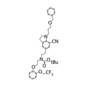 CC(C)(C)OC(=O)N(CCOc1ccccc1OCC(F)(F)F)CCc1cc(C#N)c2c(c1)CCN2CCCOCc1ccccc1